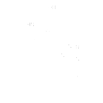 CCOCc1nnnn1-c1cc(OC(=O)NC(C)CO)cc(-c2ccc(C)cc2)c1